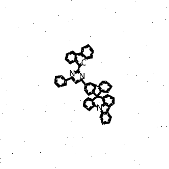 c1ccc(-c2cc(-c3ccc(C4(c5ccccc5)c5ccccc5-n5c6ccccc6c6cccc4c65)cc3)nc(-c3cc4ccccc4c4ccccc34)n2)cc1